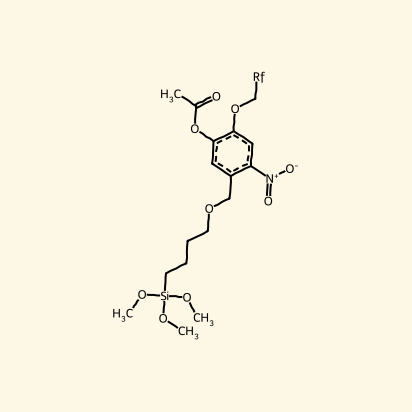 CO[Si](CCCCOCc1cc(OC(C)=O)c(O[CH2][Rf])cc1[N+](=O)[O-])(OC)OC